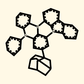 c1ccc(N2c3ccccc3B3c4c2cc(C25CC6CC(CC(C6)C2)C5)cc4-n2c4ccccc4c4cccc3c42)cc1